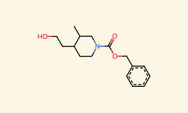 CC1CN(C(=O)OCc2ccccc2)CCC1CCO